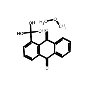 COC.O=C1c2ccccc2C(=O)c2c1cccc2C(O)(O)O